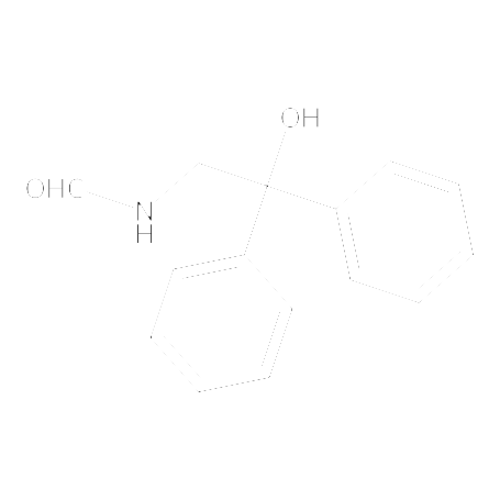 O=CNCC(O)(c1ccccc1)c1ccccc1